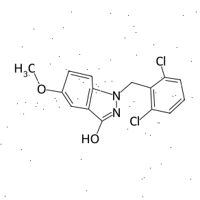 COc1ccc2c(c1)c(O)nn2Cc1c(Cl)cccc1Cl